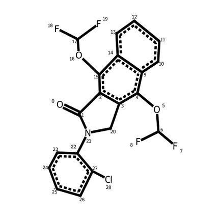 O=C1c2c(c(OC(F)F)c3ccccc3c2OC(F)F)CN1c1cc[c]cc1Cl